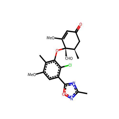 COC1=CC(=O)C[C@@H](C)[C@]1(C=O)Oc1c(C)c(OC)cc(-c2nc(C)no2)c1Cl